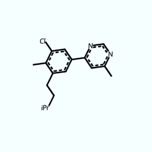 Cc1cc(-c2cc(Cl)c(C)c(CCC(C)C)c2)ncn1